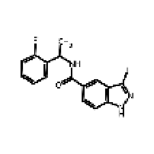 CC(NC(=O)c1ccc2[nH]nc(I)c2c1)c1ccccc1F